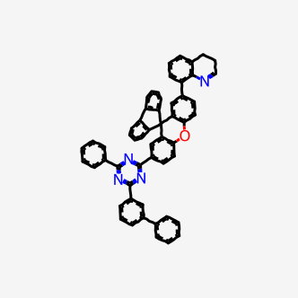 C1=Nc2c(cccc2-c2ccc3c(c2)C2(c4cc(-c5nc(-c6ccccc6)nc(-c6cccc(-c7ccccc7)c6)n5)ccc4O3)c3ccccc3-c3ccccc32)CC1